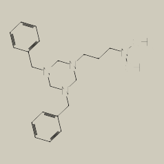 CN(C)CCCN1CN(Cc2ccccc2)CN(Cc2ccccc2)C1